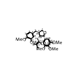 COc1ccc(C[C@H]2CO[C@H](c3cc(OC)c(OC)c(OC)c3)[C@@H]2CC(C(=O)O)=C(C)C)cc1OC